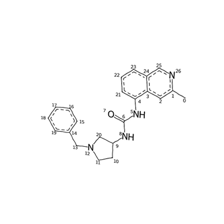 Cc1cc2c(NC(=O)NC3CCN(Cc4ccccc4)C3)cccc2cn1